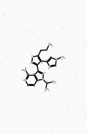 CCCc1onc(-c2nn(C(C)C)c3ccnc(N)c23)c1-c1cn(C)cn1